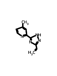 C=Cc1n[nH]c(-c2cc(C)ccn2)n1